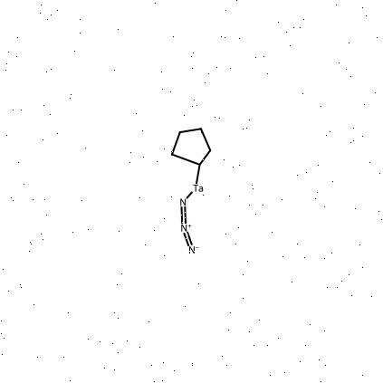 [N-]=[N+]=[N][Ta][CH]1CCCC1